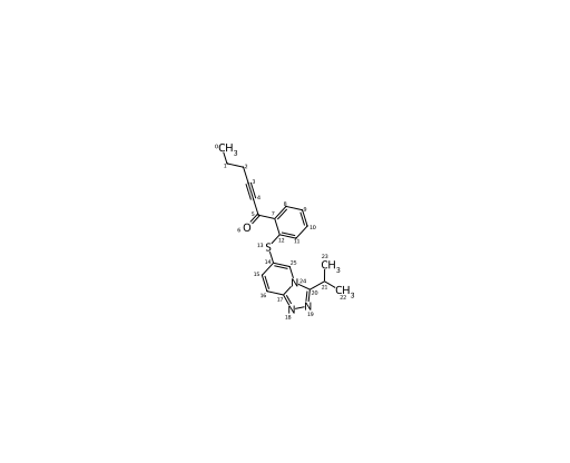 CCCC#CC(=O)c1ccccc1Sc1ccc2nnc(C(C)C)n2c1